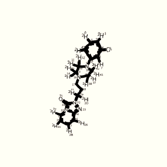 [2H]c1c([2H])c(Cl)c([2H])c(N2C([2H])([2H])C([2H])([2H])N(CCC([2H])([2H])n3nc4c([2H])c([2H])c([2H])c([2H])n4c3=O)C([2H])([2H])C2([2H])[2H])c1[2H]